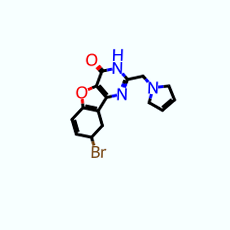 O=c1[nH]c(CN2CC=CC2)nc2c3c(oc12)C=CC(Br)C3